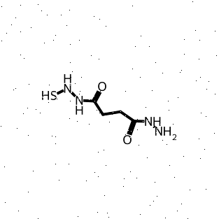 NNC(=O)CCC(=O)NNS